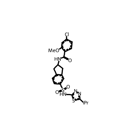 COc1cc(Cl)ccc1C(=O)NC1Cc2ccc(S(=O)(=O)Nc3nnc(C(C)C)s3)cc2C1